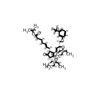 CC[Si](CC)(CC)O[C@H](C=C[C@H]1[C@H](O[Si](CC)(CC)CC)CC(=O)[C@@H]1CC=CCCCC(=O)OC(C)C)COc1cccc(C(F)(F)F)c1